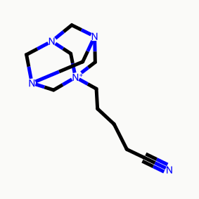 N#CCCCC[N+]12CN3CN(CN(C3)C1)C2